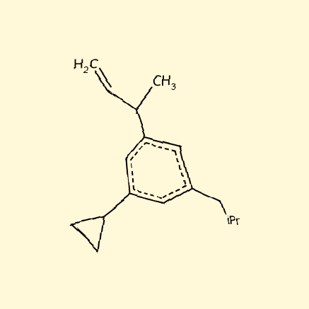 C=C[C](C)c1cc(CC(C)C)cc(C2CC2)c1